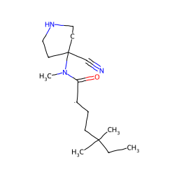 CCC(C)(C)CC[CH]C(=O)N(C)C1(C#N)CCNCC1